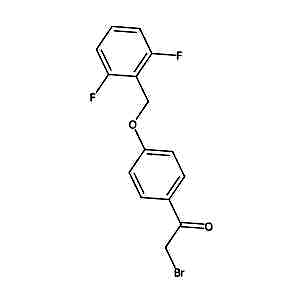 O=C(CBr)c1ccc(OCc2c(F)cccc2F)cc1